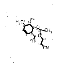 [2H]C[C@H]1C=C[C@@H](C)[C@H](F)[C@@H]1OP(C)OCCC#N